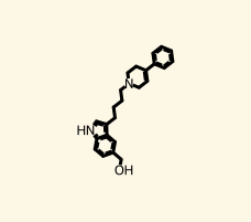 OCc1ccc2[nH]cc(CCCCN3CC=C(c4ccccc4)CC3)c2c1